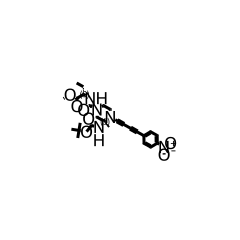 CC[C@H](NC(=O)N1CCN(C#CC#Cc2ccc([N+](=O)[O-])cc2)[C@](C)(NC(=O)OC(C)(C)C)C1)C(=O)OC